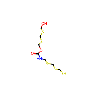 O=C(NCSCSCS)OCSCSCO